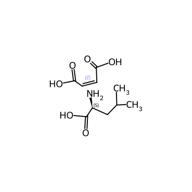 CC(C)C[C@H](N)C(=O)O.O=C(O)/C=C\C(=O)O